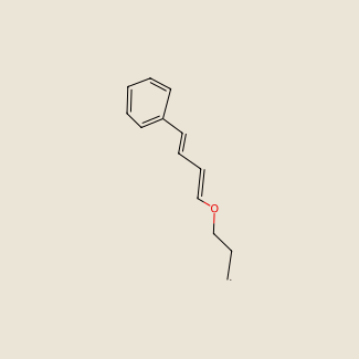 [CH2]CCO/C=C/C=C/c1ccccc1